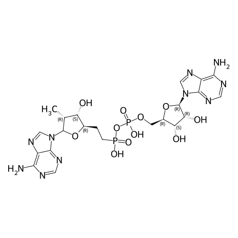 C[C@H]1C(n2cnc3c(N)ncnc32)O[C@H](CCP(=O)(O)OP(=O)(O)OC[C@H]2O[C@@H](n3cnc4c(N)ncnc43)[C@H](O)[C@@H]2O)[C@H]1O